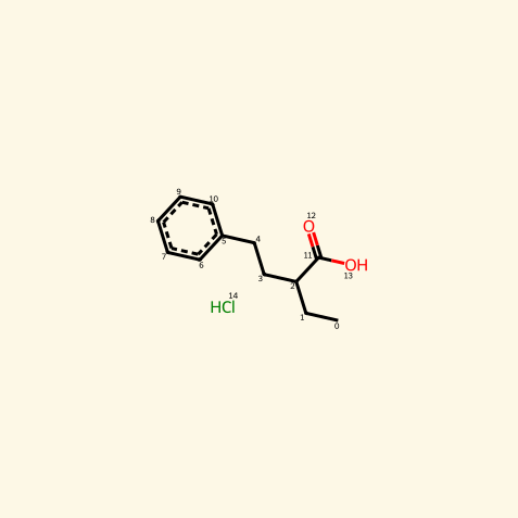 CCC(CCc1ccccc1)C(=O)O.Cl